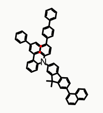 CC1(C)c2cc(-c3cccc4ccccc34)ccc2-c2ccc(N(c3ccc(-c4ccc(-c5ccccc5)cc4)cc3)c3ccccc3-c3cccc(-c4ccccc4)c3)cc21